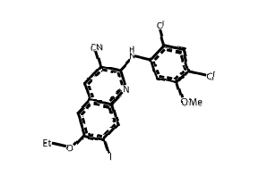 CCOc1cc2cc(C#N)c(Nc3cc(OC)c(Cl)cc3Cl)nc2cc1I